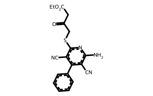 CCOC(=O)CC(=O)CSc1nc(N)c(C#N)c(-c2ccccc2)c1C#N